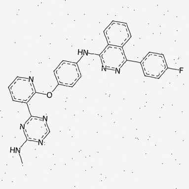 CNc1ncnc(-c2cccnc2Oc2ccc(Nc3nnc(-c4ccc(F)cc4)c4ccccc34)cc2)n1